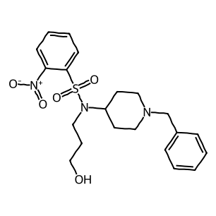 O=[N+]([O-])c1ccccc1S(=O)(=O)N(CCCO)C1CCN(Cc2ccccc2)CC1